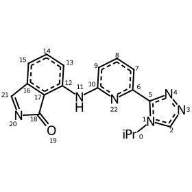 CC(C)n1cnnc1-c1cccc(Nc2cccc3c2C(=O)N=C3)n1